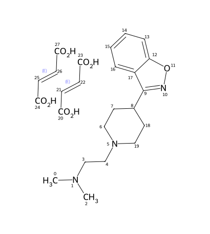 CN(C)CCN1CCC(c2noc3ccccc23)CC1.O=C(O)/C=C/C(=O)O.O=C(O)/C=C/C(=O)O